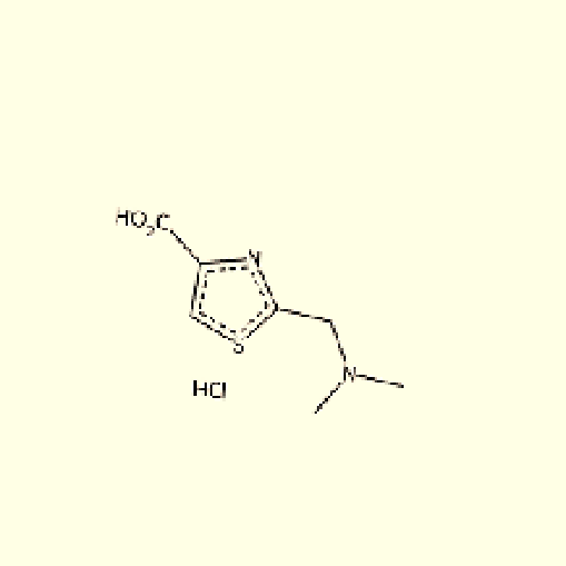 CN(C)Cc1nc(C(=O)O)cs1.Cl